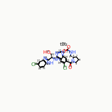 CC(C)(C)OC(=O)NC[C@H]1CCCN1C(=O)c1cc2ncnc(N[C@H](CO)c3nc4cc(Cl)ccc4[nH]3)c2cc1Cl